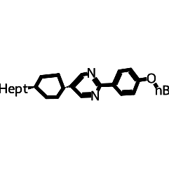 CCCCCCC[C@H]1CC[C@H](c2cnc(-c3ccc(OCCCC)cc3)nc2)CC1